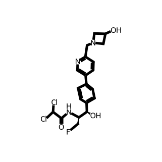 O=C(N[C@H](CF)[C@H](O)c1ccc(-c2ccc(CN3CC(O)C3)nc2)cc1)C(Cl)Cl